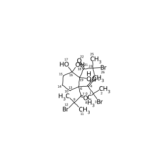 CC(C)(Br)C(=O)C1(C(=O)C(C)(C)Br)CCCC(O)(O)C1(O)C(=O)C(C)(C)Br